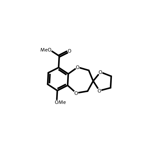 COC(=O)c1ccc(OC)c2c1OCC1(CO2)OCCO1